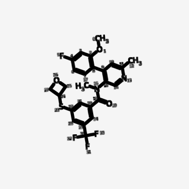 COc1cc(F)ccc1-c1cc(C)ncc1N(C)C(=O)c1cc(SC2COC2)cc(C(F)(F)F)c1